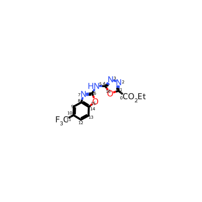 CCOC(=O)c1nnc(Nc2nc3cc(C(F)(F)F)ccc3o2)o1